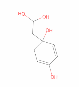 OC1=CCC(O)(CC(O)O)C=C1